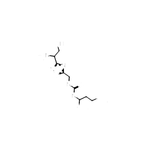 CC(CCC(=O)O)NC(=O)NCc1nc(C(N)CO)no1